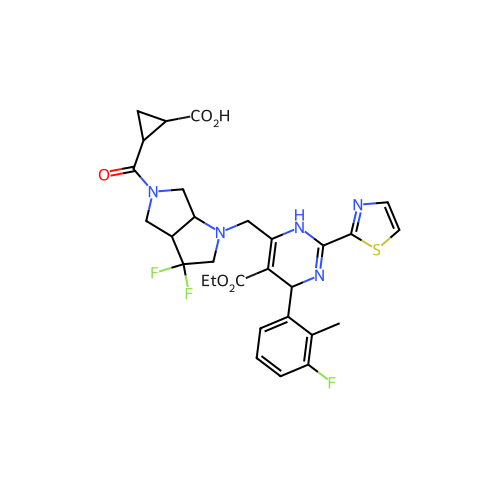 CCOC(=O)C1=C(CN2CC(F)(F)C3CN(C(=O)C4CC4C(=O)O)CC32)NC(c2nccs2)=NC1c1cccc(F)c1C